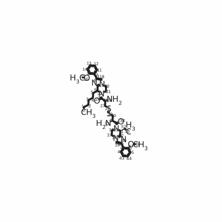 CCCCCCC1c2nc(-c3ccccc3OC)cn2CCN1C(=O)[C@@H](N)CSSC[C@H](N)C(=O)N1CCn2cc(-c3ccccc3OC)nc2[C@@H]1CC